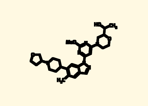 COc1nc(N2CCOC(C(C)O)C2)cc(-n2ncc3cc(C)c(C4CCN(C5CCOC5)CC4)cc32)n1